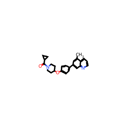 Cc1cc(-c2ccc(OC3CCN(C(=O)C4CC4)CC3)cc2)cc2ncccc12